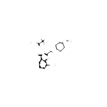 Cc1cccc2c(=O)[nH]c(CS[C@H]3CC[C@@H](CN)CC3)nc12.O=C(O)C(F)(F)F